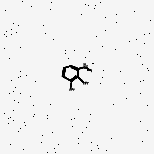 CCCc1cccc([SiH2]I)c1CCC